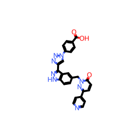 O=C(O)c1ccc(-n2cc(-c3n[nH]c4ccc(Cn5nc(-c6ccncc6)ccc5=O)cc34)nn2)cc1